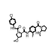 CNC1CCCN1C(=O)c1ccc(NC(=O)[C@H]2C[C@@H](OC)CN2C(=O)Nc2ccc(Cl)cc2)c(F)c1